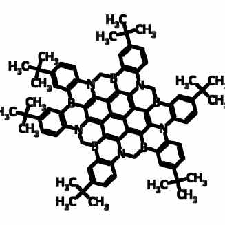 CC(C)(C)c1ccc2c(c1)B1c3cc(C(C)(C)C)ccc3N3CB4c5cc(C(C)(C)C)ccc5N5CB6c7cc(C(C)(C)C)ccc7N7c8ccc(C(C)(C)C)cc8B8CN9c%10ccc(C(C)(C)C)cc%10B%10CN2c2c1c3c1c4c5c3c6c7c8c4c9c%10c2c1c43